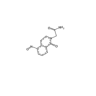 NC(=O)Cn1ccc2c(N=O)cccc2c1=O